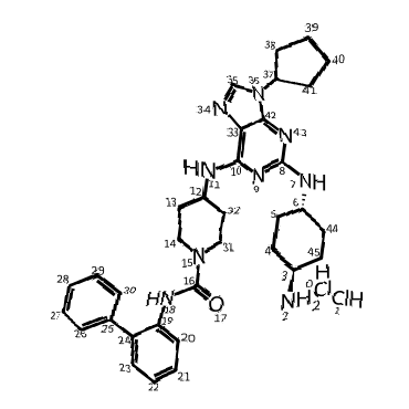 Cl.Cl.N[C@H]1CC[C@H](Nc2nc(NC3CCN(C(=O)Nc4ccccc4-c4ccccc4)CC3)c3ncn(C4CCCC4)c3n2)CC1